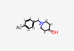 CC(=O)c1ccc(CN2CCC(O)CC2)cc1